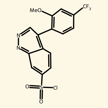 COc1cc(C(F)(F)F)ccc1-c1cnnc2cc(S(=O)(=O)Cl)ccc12